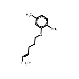 CCOC(=O)C=CCCCOc1cc(C)ccc1N